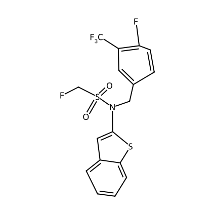 O=S(=O)(CF)N(Cc1ccc(F)c(C(F)(F)F)c1)c1cc2ccccc2s1